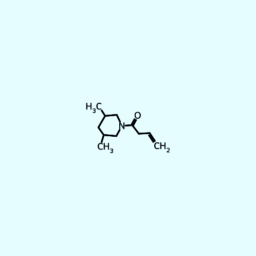 C=CCC(=O)N1CC(C)CC(C)C1